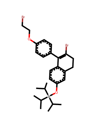 CC(C)[Si](Oc1ccc2c(c1)CCC(Br)=C2c1ccc(OCCBr)cc1)(C(C)C)C(C)C